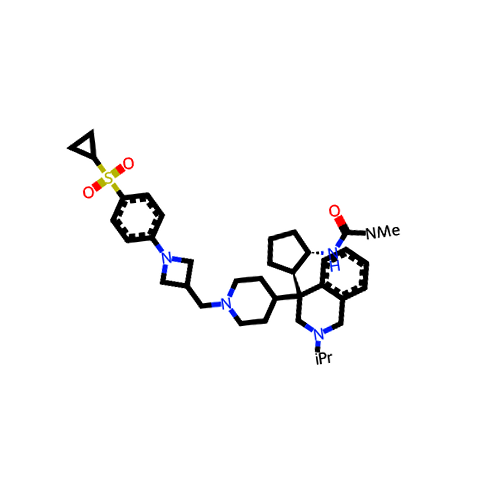 CNC(=O)N[C@H]1CCC[C@@H]1C1(C2CCN(CC3CN(c4ccc(S(=O)(=O)C5CC5)cc4)C3)CC2)CN(C(C)C)Cc2ccccc21